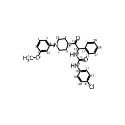 COc1cccc(N2CCN(C(=O)C(NC(=O)Nc3ccc(Cl)cc3)c3ccccc3)CC2)c1